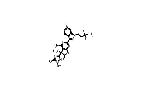 CC(C)n1nc(C2(C)C(=O)Nc3nc(-c4nn(CCC(C)(F)F)c5cc(Cl)ccc45)nc(N)c32)oc1=O